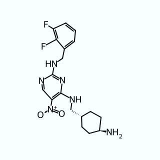 N[C@H]1CC[C@H](CNc2nc(NCc3cccc(F)c3F)ncc2[N+](=O)[O-])CC1